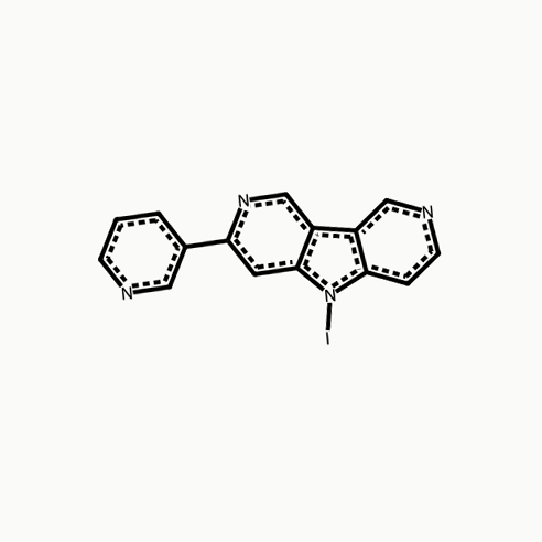 In1c2ccncc2c2cnc(-c3cccnc3)cc21